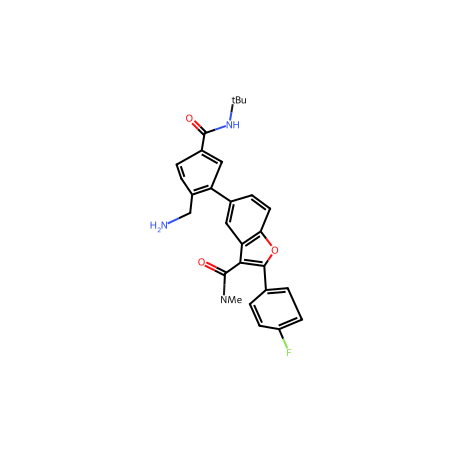 CNC(=O)c1c(-c2ccc(F)cc2)oc2ccc(-c3cc(C(=O)NC(C)(C)C)ccc3CN)cc12